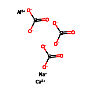 O=[Si]([O-])[O-].O=[Si]([O-])[O-].O=[Si]([O-])[O-].[Al+3].[Ca+2].[Na+]